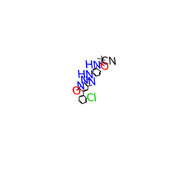 Cn1c(=O)c(-c2ccccc2Cl)cc2cnc(Nc3cccc(NC(=O)C(C)(C)C#N)c3)nc21